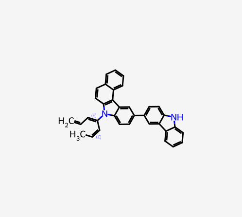 C=C/C=C(\C=C/C)n1c2ccc(-c3ccc4[nH]c5ccccc5c4c3)cc2c2c3ccccc3ccc21